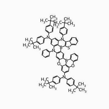 CC(C)(C)c1ccc(N(c2ccc(C(C)(C)C)cc2)c2cc3c4c(c2)Oc2cc5c(cc2B4c2ccccc2O3)B2c3sc4ccccc4c3N(c3ccc(C(C)(C)C)cc3)c3cc(N(c4ccc(C(C)(C)C)cc4)c4ccc(C(C)(C)C)cc4)cc(c32)N5c2ccccc2)cc1